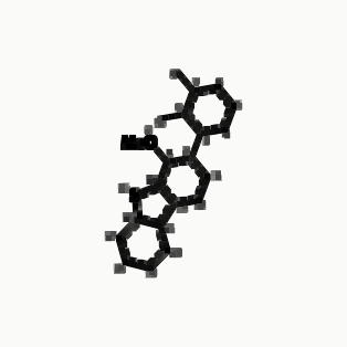 COc1c(-c2cccc(C)c2C)ccc2c1sc1ccccc12